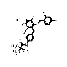 Cc1[nH]c(=O)c(Cl)c(OCc2ccc(F)cc2F)c1Cc1ccc(NC(=O)C(C)(C)N)cc1.Cl